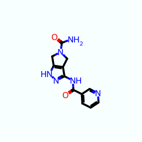 NC(=O)N1Cc2[nH]nc(NC(=O)c3cccnc3)c2C1